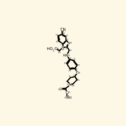 CC(C)(C)OC(=O)N1CCC(Oc2ccc(NCc3nc4cc(C#N)ccc4n3CC(=O)O)cc2)CC1